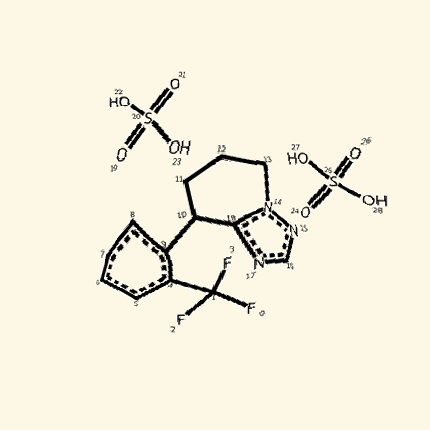 FC(F)(F)c1ccccc1C1CCCn2ncnc21.O=S(=O)(O)O.O=S(=O)(O)O